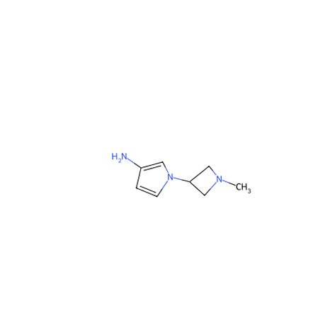 CN1CC(n2ccc(N)c2)C1